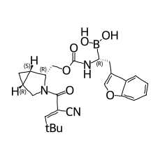 CC(C)(C)C=C(C#N)C(=O)N1C[C@@H]2C[C@@H]2[C@@H]1COC(=O)N[C@@H](Cc1coc2ccccc12)B(O)O